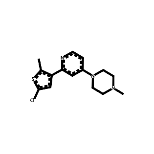 Cc1sc(Cl)cc1-c1cc(N2CCN(C)CC2)ccn1